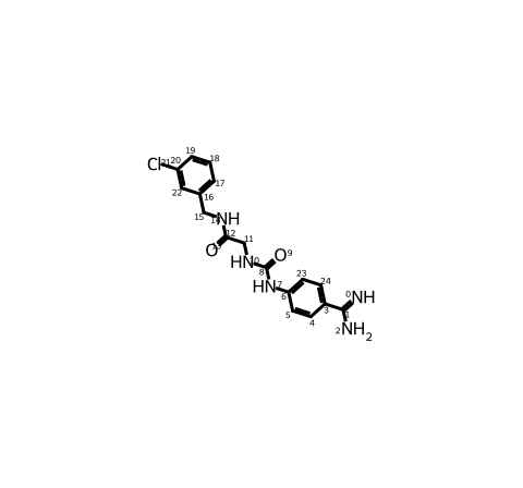 N=C(N)c1ccc(NC(=O)NCC(=O)NCc2cccc(Cl)c2)cc1